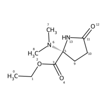 CCOC(=O)[C@]1(N(C)C)CCC(=O)N1